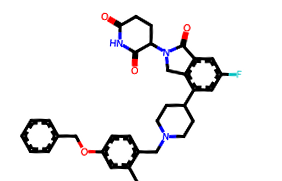 Cc1cc(OCc2ccccc2)ccc1CN1CCC(c2cc(F)cc3c2CN(C2CCC(=O)NC2=O)C3=O)CC1